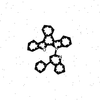 c1ccc(-c2cc(-n3c4ccccc4c4c5ccccc5c5c6ccccc6oc5c43)nc3ccccc23)cc1